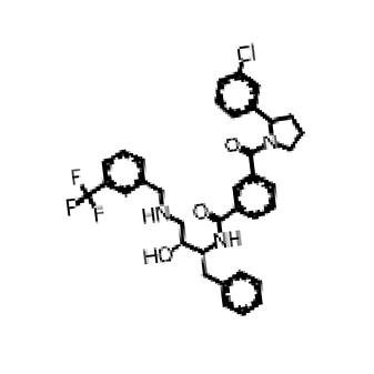 O=C(N[C@@H](Cc1ccccc1)[C@@H](O)CNCc1cccc(C(F)(F)F)c1)c1cccc(C(=O)N2CCCC2c2cccc(Cl)c2)c1